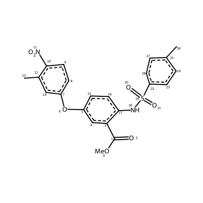 COC(=O)c1cc(Oc2ccc([N+](=O)[O-])c(C)c2)ccc1NS(=O)(=O)c1ccc(C)cc1